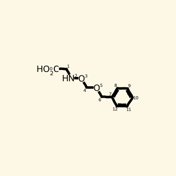 O=C(O)CNOCOCc1ccccc1